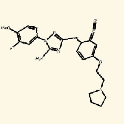 COc1ccc(-n2nc(NC3C=CC(OCCN4CCCC4)=CC3=C=O)nc2N)cc1F